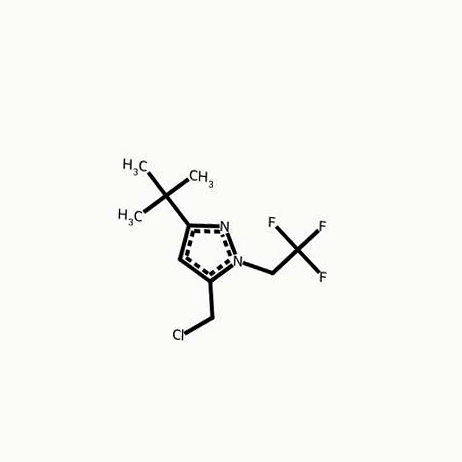 CC(C)(C)c1cc(CCl)n(CC(F)(F)F)n1